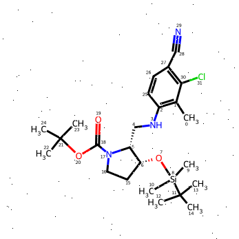 Cc1c(NC[C@@H]2[C@H](O[Si](C)(C)C(C)(C)C)CCN2C(=O)OC(C)(C)C)ccc(C#N)c1Cl